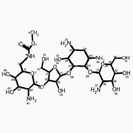 COC(=O)NCC1OC(OC2C(CO)OC(OC3C(O)C(N)CC(N)C3OC3OC(CO)C(O)C(O)C3N)C2O)C(N)C(O)C1O